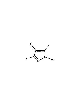 CCc1c(F)nn(C)c1C